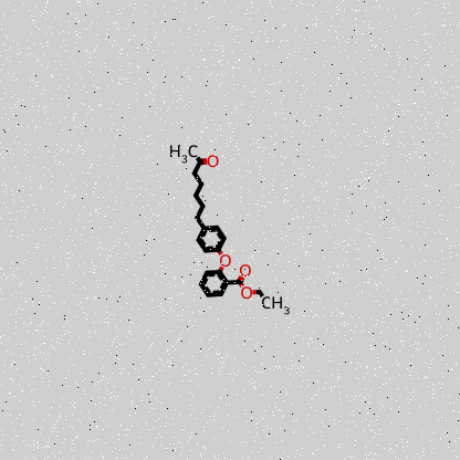 CCOC(=O)c1ccccc1Oc1ccc(CCCCCC(C)=O)cc1